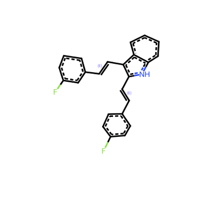 Fc1ccc(/C=C/c2[nH]c3ccccc3c2/C=C/c2cccc(F)c2)cc1